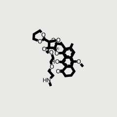 CNCCOCCO[C@@]12Oc3c(c(C)cc4c(OC)c5c(c(O)c34)C(=O)CCC5)C3OC(C4OCCCO4)(OC31)[C@]21CO1